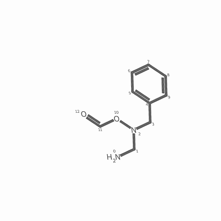 NCN(Cc1ccccc1)OC=O